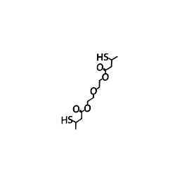 CC(S)CC(=O)OCCOCCOC(=O)CC(C)S